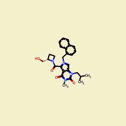 CC(C)Cn1c(=O)n(C)c(=O)c2c(C(=O)N3CC[C@H]3CO)n(Cc3cccc4ccccc34)cc21